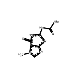 Cn1cnc2nc(NC(=O)C(C)(C)C)[nH]c(=O)c21